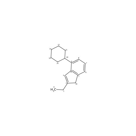 CCC1=Cc2c(cccc2C2CCCCC2)C1